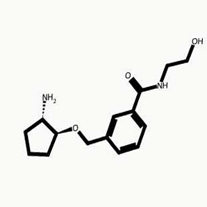 N[C@H]1CCC[C@@H]1OCc1cccc(C(=O)NCCO)c1